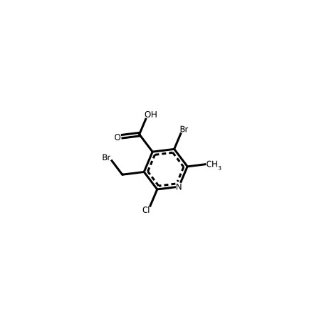 Cc1nc(Cl)c(CBr)c(C(=O)O)c1Br